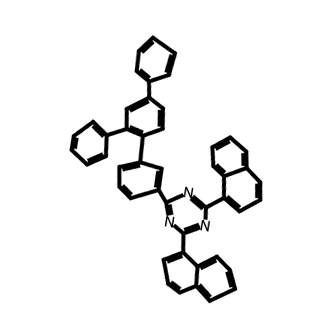 c1ccc(-c2ccc(-c3cccc(-c4nc(-c5cccc6ccccc56)nc(-c5cccc6ccccc56)n4)c3)c(-c3ccccc3)c2)cc1